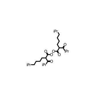 CC(C)CCCCC(C(=O)OOC(=O)C(CCCCC(C)C)C(=O)C(C)C)C(=O)C(C)C